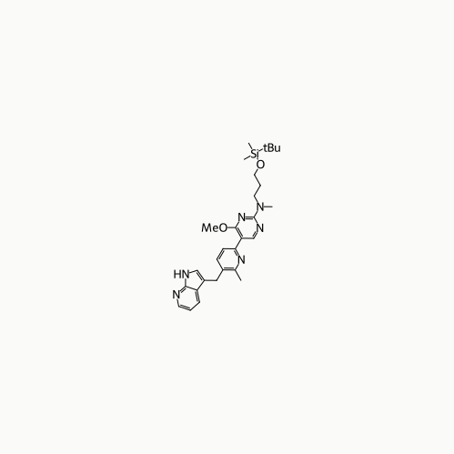 COc1nc(N(C)CCCO[Si](C)(C)C(C)(C)C)ncc1-c1ccc(Cc2c[nH]c3ncccc23)c(C)n1